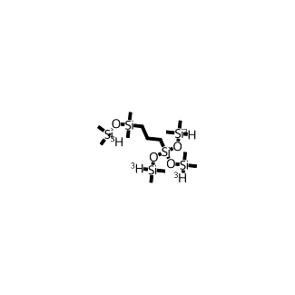 [3H][Si](C)(C)O[Si](C)(C)CCC[Si](O[Si]([3H])(C)C)(O[Si]([3H])(C)C)O[Si]([3H])(C)C